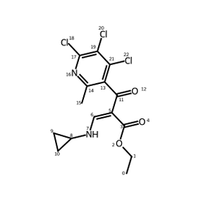 CCOC(=O)C(=CNC1CC1)C(=O)c1c(C)nc(Cl)c(Cl)c1Cl